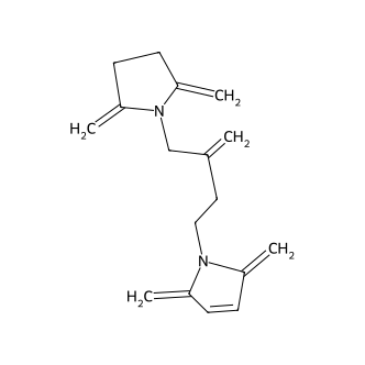 C=C(CCn1c(=C)ccc1=C)CN1C(=C)CCC1=C